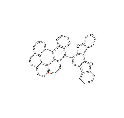 c1ccc2c(c1)ccc1cccc(-c3c4ccccc4c(-c4cc5c6ccccc6oc5c5c4oc4ccccc45)c4ccccc34)c12